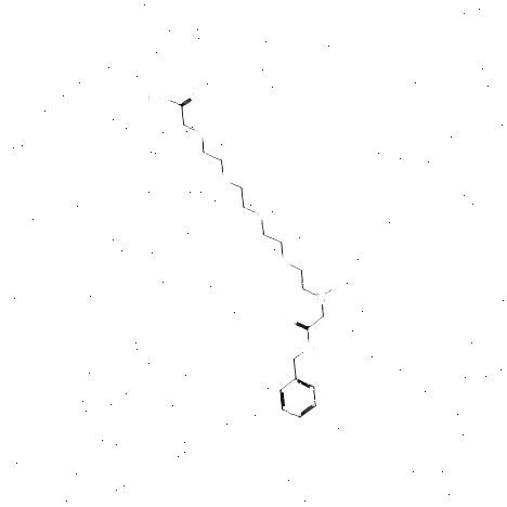 CN(CCOCCOCCOCCOCC(=O)O)CC(=O)OCc1ccccc1